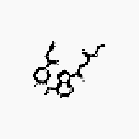 CCOC(=O)CCC(=O)n1ccc2c(N(C)[C@H]3CN(C(=O)CC#N)CC[C@H]3C)ncnc21